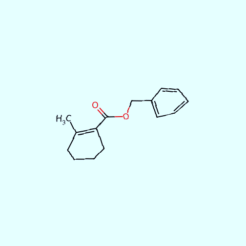 CC1=C(C(=O)OCc2ccccc2)CCCC1